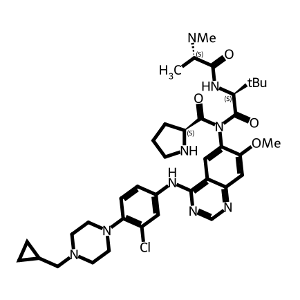 CN[C@@H](C)C(=O)N[C@H](C(=O)N(C(=O)[C@@H]1CCCN1)c1cc2c(Nc3ccc(N4CCN(CC5CC5)CC4)c(Cl)c3)ncnc2cc1OC)C(C)(C)C